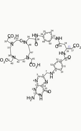 Nc1nc2ncc(CNc3ccc(C(=O)N/C(=C/C(=O)O)CC(=O)Nc4ccc(NC(=O)CN5CCN(CC(=O)O)CCN(CC(=O)O)CCN(CC(=O)O)CC5)cc4)cc3)nc2c(=O)[nH]1